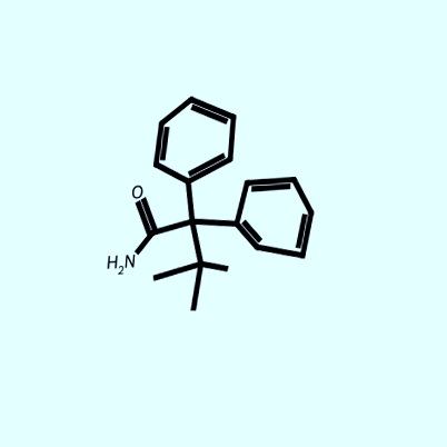 CC(C)(C)C(C(N)=O)(c1ccccc1)c1ccccc1